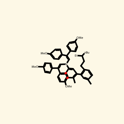 CCCCC(CC)CCc1ccc(C)cc1-c1cc(N(C=C(c2ccc(OC)cc2)c2ccc(OC)cc2)C=C(c2ccc(OC)cc2)c2ccc(OC)cc2)ccc1C